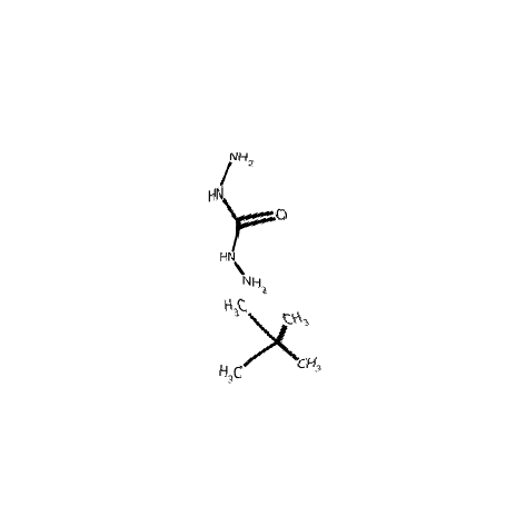 CC(C)(C)C.NNC(=O)NN